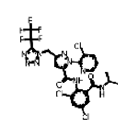 CC(C)NC(=O)c1cc(Cl)cc(Cl)c1NC(=O)c1cc(Cn2nnnc2C(F)(F)C(F)(F)F)nn1-c1ncccc1Cl